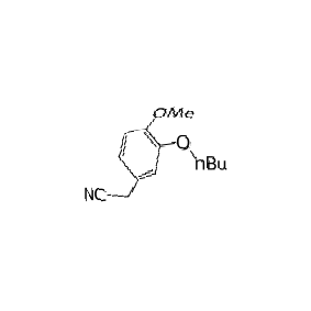 CCCCOc1cc(CC#N)ccc1OC